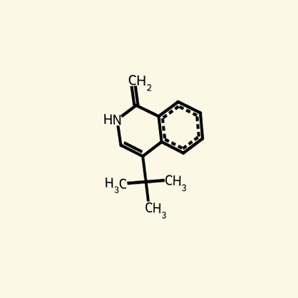 C=C1NC=C(C(C)(C)C)c2ccccc21